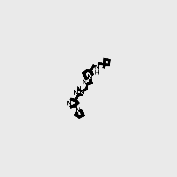 CC1(CNCc2ccc3nc(Cn4cc(-c5cncc(-n6cccc6)c5)nn4)cn3c2)CCC1